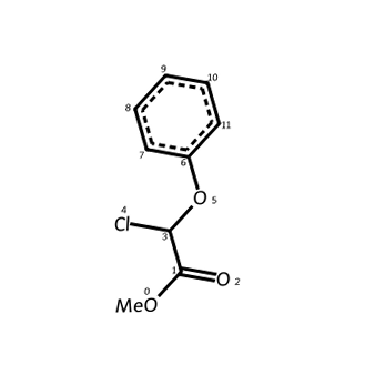 COC(=O)C(Cl)Oc1ccccc1